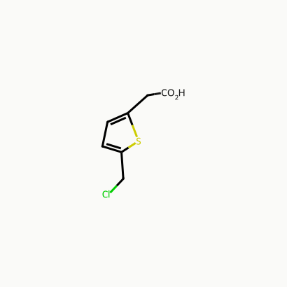 O=C(O)Cc1ccc(CCl)s1